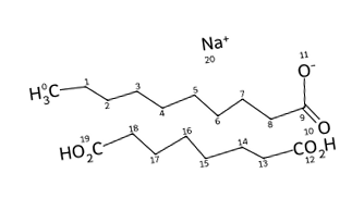 CCCCCCCCCC(=O)[O-].O=C(O)CCCCCCC(=O)O.[Na+]